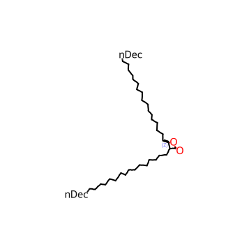 CCCCCCCCCCCCCCCCCCCCCCCCCC/C=C1\OC(=O)C1CCCCCCCCCCCCCCCCCCCCCCCCCC